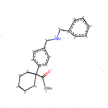 COC(=O)C1(c2ccc(CNCc3ccccc3)cc2)CCCCC1